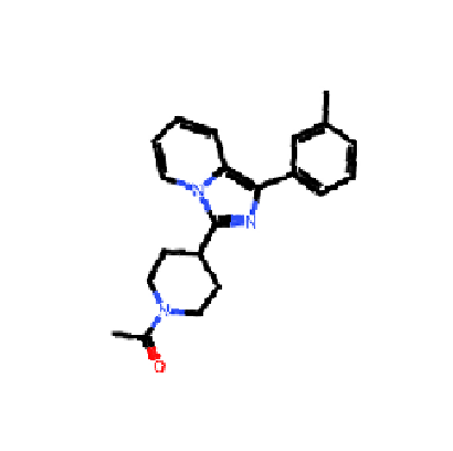 CC(=O)N1CCC(c2nc(-c3cccc(C)c3)c3ccccn23)CC1